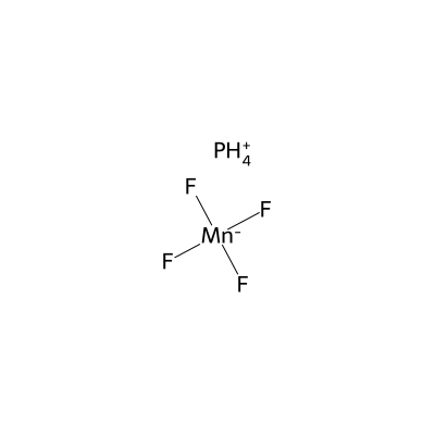 [F][Mn-]([F])([F])[F].[PH4+]